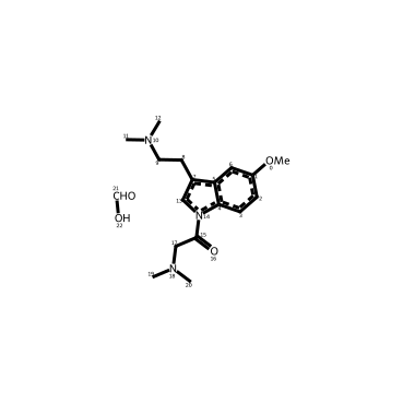 COc1ccc2c(c1)c(CCN(C)C)cn2C(=O)CN(C)C.O=CO